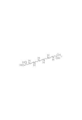 CC(O)CNCCNCCNCCNCCNCCNCC(O)CO